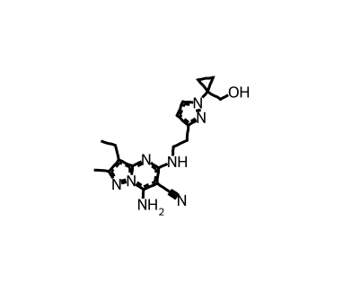 CCc1c(C)nn2c(N)c(C#N)c(NCCc3ccn(C4(CO)CC4)n3)nc12